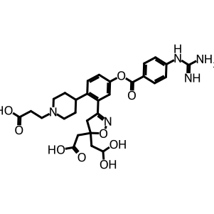 N=C(N)Nc1ccc(C(=O)Oc2ccc(C3CCN(CCC(=O)O)CC3)c(C3=NOC(CC(=O)O)(CC(O)O)C3)c2)cc1